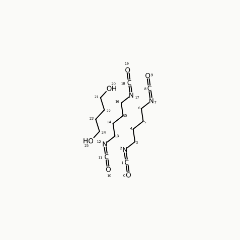 O=C=NCCCCN=C=O.O=C=NCCCCN=C=O.OCCCCO